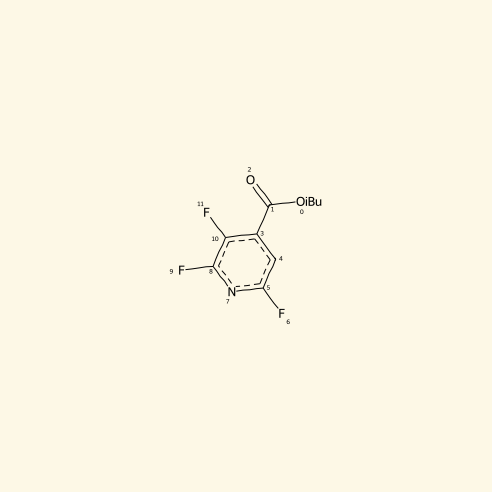 CC(C)COC(=O)c1cc(F)nc(F)c1F